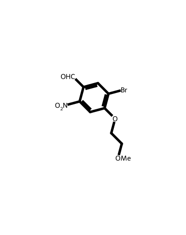 COCCOc1cc([N+](=O)[O-])c(C=O)cc1Br